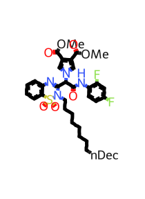 CCCCCCCCCCCCCCCCCCN1C(C(C(=O)Nc2ccc(F)cc2F)n2cc(C(=O)OC)c(C(=O)OC)c2)=Nc2ccccc2S1(=O)=O